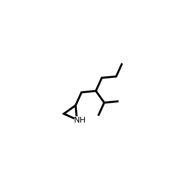 CCCC(CC1CN1)C(C)C